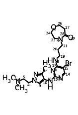 Cc1nn(CCN(C)C)cc1Nc1ncc(Br)c(NCCCN2CCOCCC2=O)n1